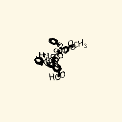 COC(=O)C1CCN(C(=O)OC)C(COC2CCCCC2)C1.COC(=O)N1CCC(C(=O)O)CC1COC1CCCCC1